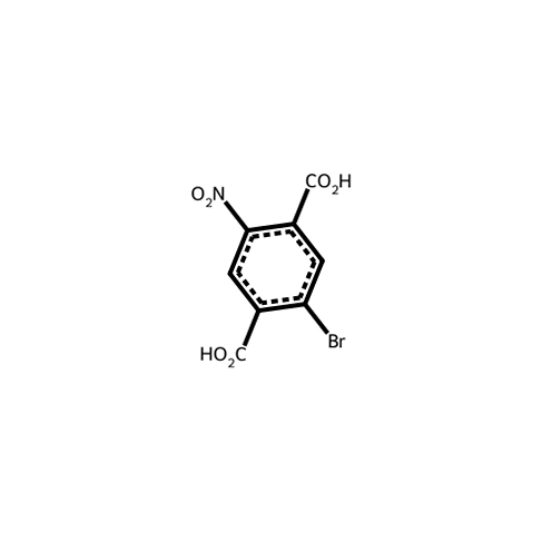 O=C(O)c1cc([N+](=O)[O-])c(C(=O)O)cc1Br